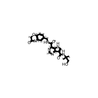 CC(C)(CO)NC(=O)c1c[nH]c2c(C(=O)NCc3ccc4c(c3)NC(=O)CO4)ncnc12